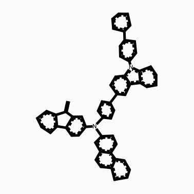 C=C1c2ccccc2-c2ccc(N(c3ccc(-c4ccc5c(c4)c4ccccc4n5-c4ccc(-c5ccccc5)cc4)cc3)c3ccc4c(ccc5ccccc54)c3)cc21